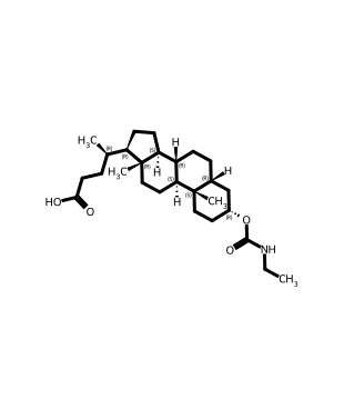 CCNC(=O)O[C@@H]1CC[C@@]2(C)[C@H](CC[C@@H]3[C@@H]2CC[C@]2(C)[C@@H]([C@H](C)CCC(=O)O)CC[C@@H]32)C1